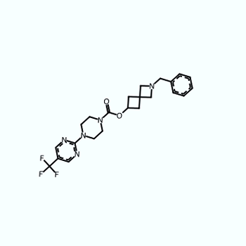 O=C(OC1CC2(C1)CN(Cc1ccccc1)C2)N1CCN(c2ncc(C(F)(F)F)cn2)CC1